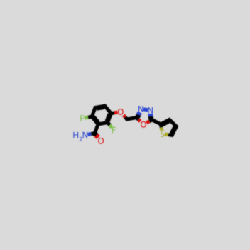 NC(=O)c1c(F)ccc(OCc2nnc(-c3cccs3)o2)c1F